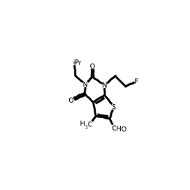 Cc1c(C=O)sc2c1c(=O)n(CC(C)C)c(=O)n2CCF